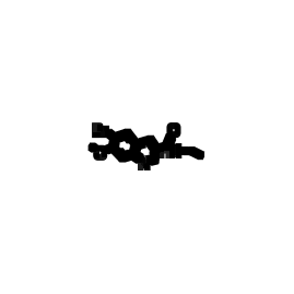 CCNC(=O)c1cnc2cc(OC)c(Br)cc2c1